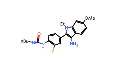 CCCCNC(=O)Nc1ccc(-c2c(N)c3ccc(OC)cc3n2CC)cc1F